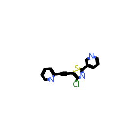 Clc1nc(-c2cccnc2)sc1C#Cc1ccccn1